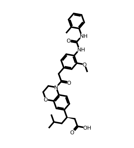 COc1cc(CC(=O)N2CCOc3cc([C@@H](CC(=O)O)CC(C)C)ccc32)ccc1NC(=O)Nc1ccccc1C